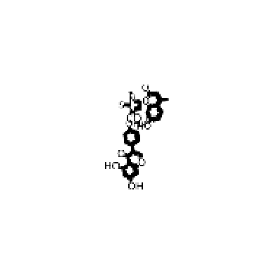 CCOC(=O)n1ccn(C)c1=S.Cc1cc(=O)oc2cc(O)ccc12.O=c1c(-c2ccc(O)cc2)coc2cc(O)cc(O)c12